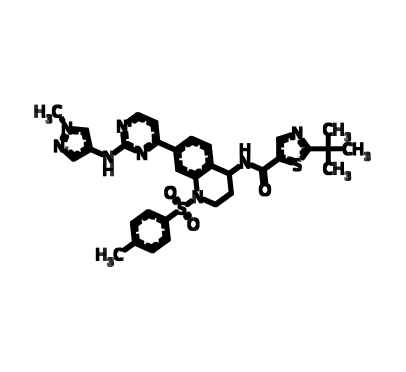 Cc1ccc(S(=O)(=O)N2CCC(NC(=O)c3cnc(C(C)(C)C)s3)c3ccc(-c4ccnc(Nc5cnn(C)c5)n4)cc32)cc1